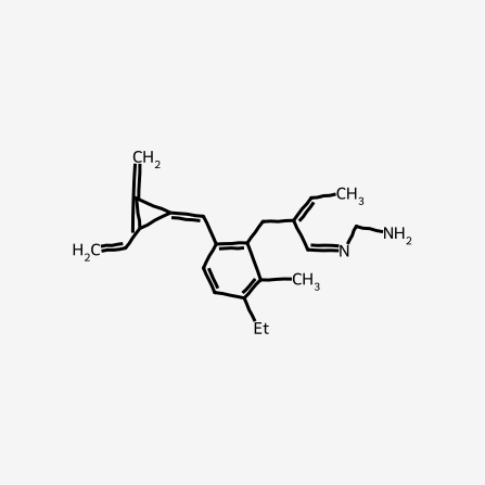 C=CC1C(=C)/C1=C/c1ccc(CC)c(C)c1CC(/C=N\CN)=C/C